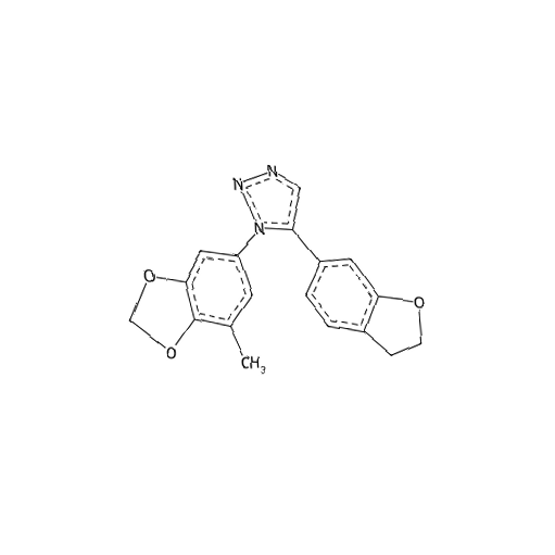 Cc1cc(-n2nncc2-c2ccc3c(c2)OCC3)cc2c1OCO2